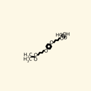 C=C(C)C(=O)OCCCCOc1ccc(OCCCCOP(=O)(O)O)cc1